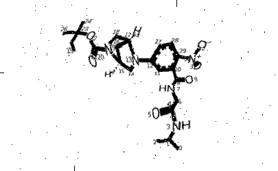 CC(C)NC(=O)CNC(=O)c1cc(N2C[C@@H]3C[C@H]2CN3C(=O)OC(C)(C)C)ccc1[N+](=O)[O-]